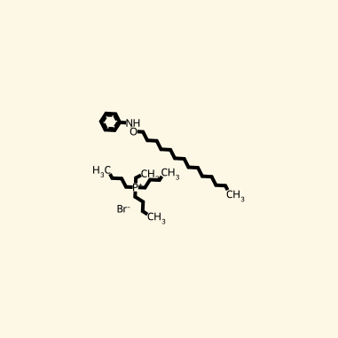 CCCCCCCCCCCCCCONc1ccccc1.CCCC[P+](CC)(CCCC)CCCC.[Br-]